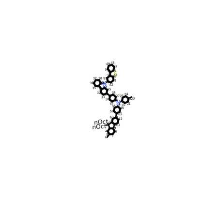 CCCCCCCCC1(CCCCCCCC)c2cc(C)ccc2-c2ccc(-c3ccc(N(c4ccc(C)cc4)c4ccc(-c5ccc6c7ccccc7n(-c7ccc8sc9ccccc9c8c7)c6c5)cc4)cc3)cc21